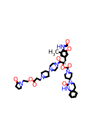 Cc1cc(C[C@@H](OC(=O)N2CCC(N3CCc4ccccc4NC3=O)CC2)C(=O)N2CCN(C3CCN(CCC(=O)OCCN4CCCC4=O)CC3)CC2)cc2oc(=O)[nH]c12